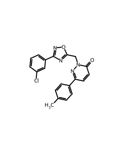 Cc1ccc(-c2ccc(=O)n(Cc3nc(-c4cccc(Cl)c4)no3)n2)cc1